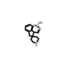 CC(C)(C)[S@+]([O-])/N=C\C1c2ccccc2CC12CCNCC2